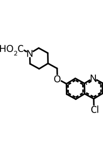 O=C(O)N1CCC(COc2ccc3c(Cl)ccnc3c2)CC1